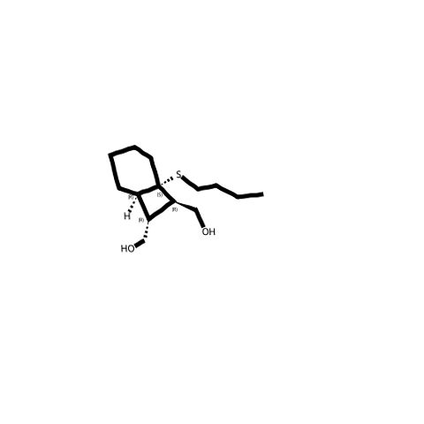 CCCCS[C@@]12CCCC[C@@H]1[C@@H](CO)[C@@H]2CO